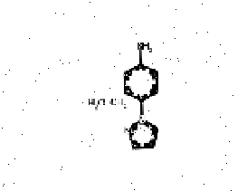 Bc1ccc(-n2cccn2)cc1.O.O